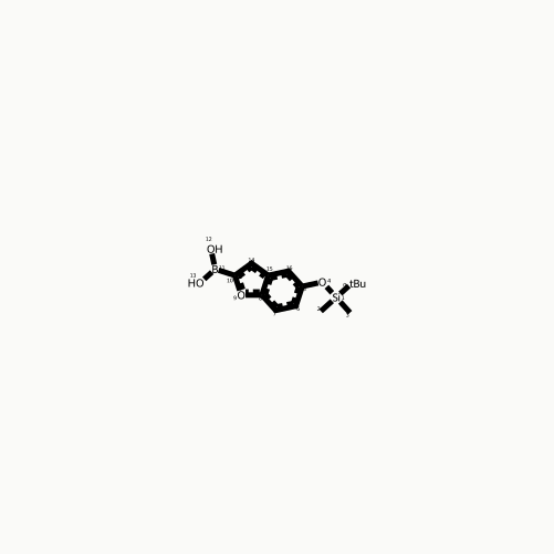 CC(C)(C)[Si](C)(C)Oc1ccc2oc(B(O)O)cc2c1